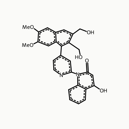 COc1cc2cc(CO)c(CO)c(-c3ccnc(-n4c(=O)cc(O)c5ccccc54)c3)c2cc1OC